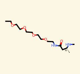 CCOCCOCCOCCOCCNC(=O)C[C@@H](C)NC